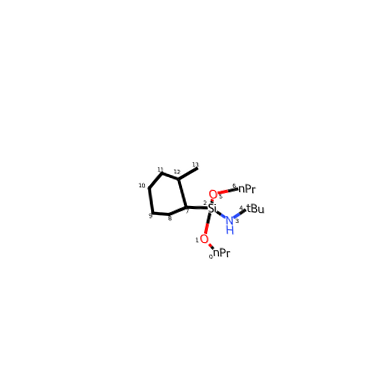 CCCO[Si](NC(C)(C)C)(OCCC)C1CCCCC1C